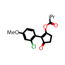 COc1ccc(C2=C(OC(=O)C(C)C)CCC2=O)c(Cl)c1